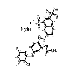 CC(=O)Nc1cc(Nc2nc(F)nc(F)c2Cl)ccc1N=Nc1ccc2cc(S(=O)(=O)O)cc(S(=O)(=O)O)c2c1.[NaH].[NaH]